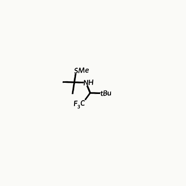 CSC(C)(C)NC(C(C)(C)C)C(F)(F)F